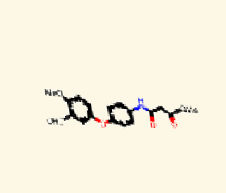 COC(=O)CC(=O)Nc1ccc(Oc2ccc(OC)c(C=O)c2)cc1